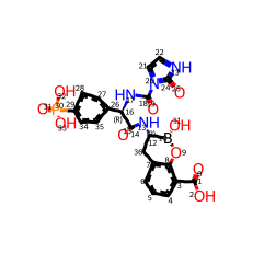 O=C(O)c1cccc2c1OB(O)[C@@H](NC(=O)[C@H](NC(=O)n1cc[nH]c1=O)c1ccc(P(=O)(O)O)cc1)C2